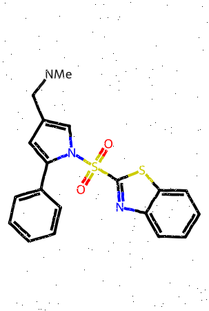 CNCc1cc(-c2ccccc2)n(S(=O)(=O)c2nc3ccccc3s2)c1